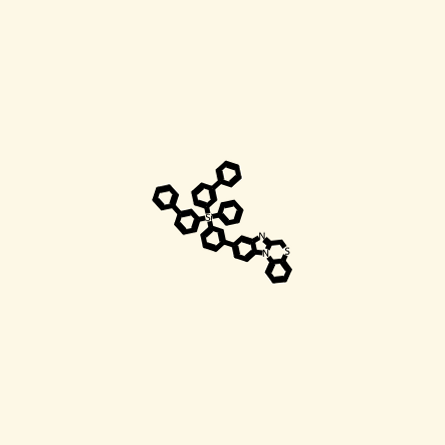 c1ccc(-c2cccc([Si](c3ccccc3)(c3cccc(-c4ccccc4)c3)c3cccc(-c4ccc5c(c4)nc4n5-c5ccccc5SC4)c3)c2)cc1